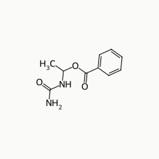 CC(NC(N)=O)OC(=O)c1ccccc1